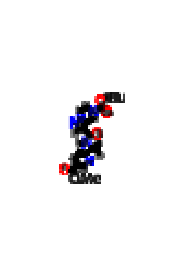 COC(=O)c1ccc(C2(N(C)C(=O)c3cnn4c3CN(C(=O)OC(C)(C)C)CC4)CC2)nc1